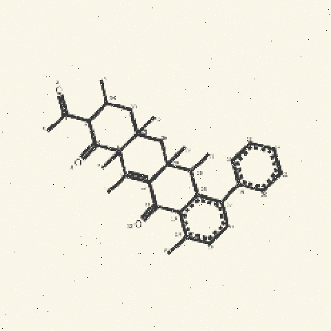 CC(=O)C1C(=O)C2(C)C(C)=C3C(=O)c4c(C)ccc(-c5ccccc5)c4C(C)C3(C)CC2(C)CC1C